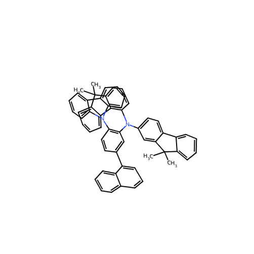 CC1(C)c2ccccc2-c2ccc(N(c3cc(-c4cccc5ccccc45)ccc3-n3c4ccccc4c4ccccc43)c3cccc4c3-c3ccccc3C4(C)C)cc21